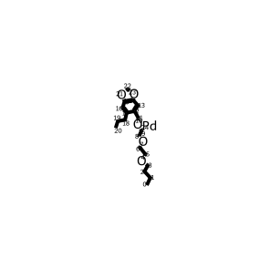 CCCCOCCOCCOCc1cc2c(cc1CCC)OCO2.[Pd]